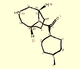 C[C@H]1CC[C@@H](C(=O)N2[C@@H]3CC[C@H]2CNC3)CC1